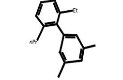 CCCc1cccc(CC)c1-c1[c]c(C)cc(C)c1